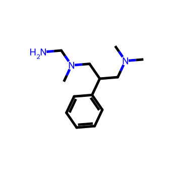 CN(C)CC(CN(C)CN)c1ccccc1